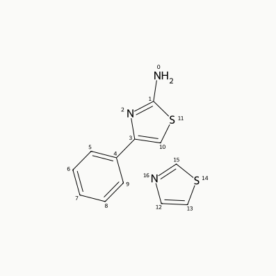 Nc1nc(-c2ccccc2)cs1.c1cscn1